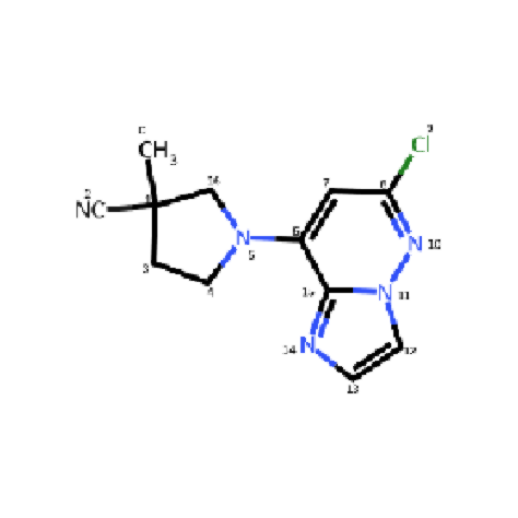 CC1(C#N)CCN(c2cc(Cl)nn3ccnc23)C1